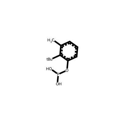 Cc1cccc(OP(O)O)c1C(C)(C)C